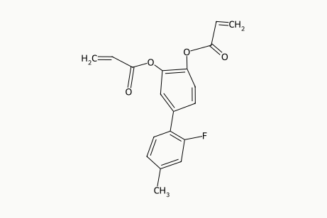 C=CC(=O)Oc1ccc(-c2ccc(C)cc2F)cc1OC(=O)C=C